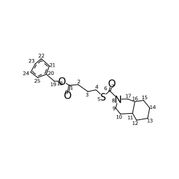 O=C(CCCSC(=O)N1CCC2CCCCC2C1)OCc1ccccc1